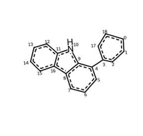 c1ccc(-c2cccc3c2[nH]c2ccccc23)cc1